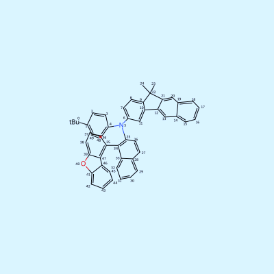 CC(C)(C)c1ccc(N(c2ccc3c(c2)-c2cc4ccccc4cc2C3(C)C)c2ccc3ccccc3c2-c2cccc3oc4ccccc4c23)cc1